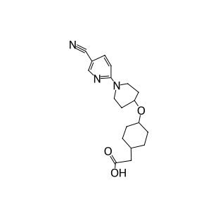 N#Cc1ccc(N2CCC(OC3CCC(CC(=O)O)CC3)CC2)nc1